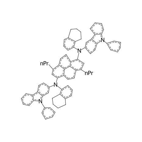 CCCc1cc(N(c2ccc3c(c2)c2ccccc2n3-c2ccccc2)c2cccc3c2CCCC3)c2ccc3c(CCC)cc(N(c4ccc5c6ccccc6n(-c6ccccc6)c5c4)c4cccc5c4CCCC5)c4ccc1c2c34